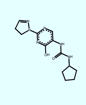 O=C(Nc1cnc(N2CCC=N2)nc1O)NC1CCCC1